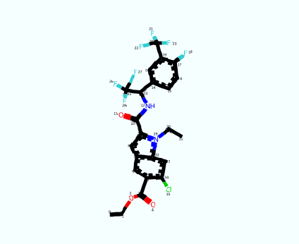 CCOC(=O)c1cc2cc(C(=O)NC(c3ccc(F)c(C(F)(F)F)c3)C(F)(F)F)n(CC)c2cc1Cl